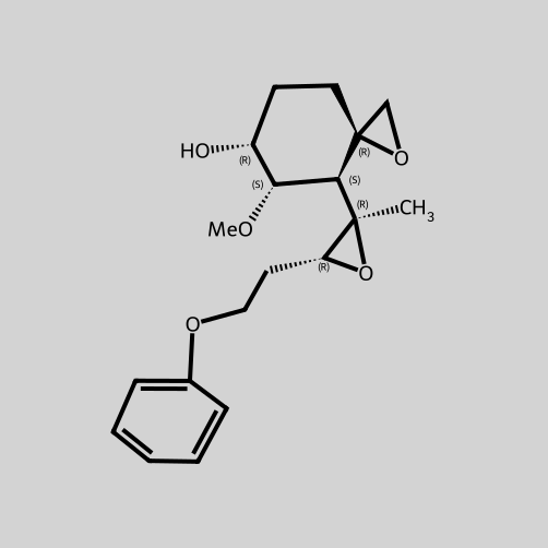 CO[C@@H]1[C@H](O)CC[C@]2(CO2)[C@H]1[C@@]1(C)O[C@@H]1CCOc1ccccc1